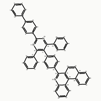 c1ccc(-c2ccc(-c3nc(-c4ccccc4)c(-c4ccc(-c5nc6ccccc6c6c5ccc5ccccc56)cc4)c(-c4ccccc4)n3)cc2)cc1